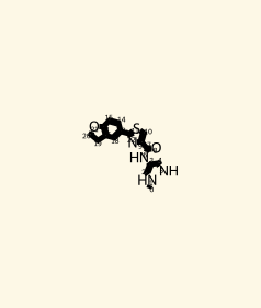 CN/C=C(\C=N)NC(=O)c1csc(-c2ccc3c(c2)CCO3)n1